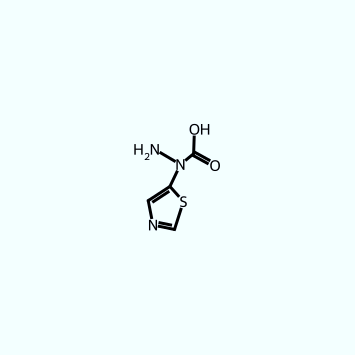 NN(C(=O)O)c1cncs1